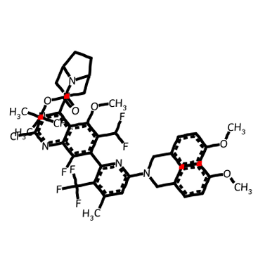 COc1ccc(CN(Cc2ccc(OC)cc2)c2cc(C)c(C(F)(F)F)c(-c3c(C(F)F)c(OC)c4c(N5CC6CCC(C5)N6C(=O)OC(C)(C)C)nc(Cl)nc4c3F)n2)cc1